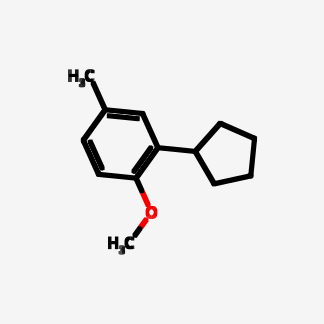 COc1ccc(C)cc1C1CCCC1